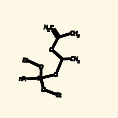 C=C(C)OC(C)O[Si](CCC)(OCC)OCC